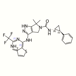 C=c1ccs/c1=C(/N=C(\N)C(F)(F)F)Nc1n[nH]c2c1CN(C(=O)N[C@@H]1C[C@H]1c1ccccc1)C2(C)C